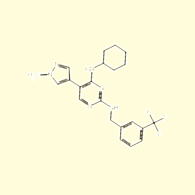 Cn1cc(-c2cnc(NCc3cccc(C(F)(F)F)c3)nc2NC2CCCCC2)cn1